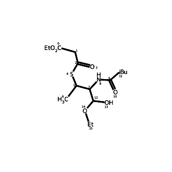 CCOC(=O)CC(=O)SC(C)C(NC(=O)C(C)CC)C(O)OCC